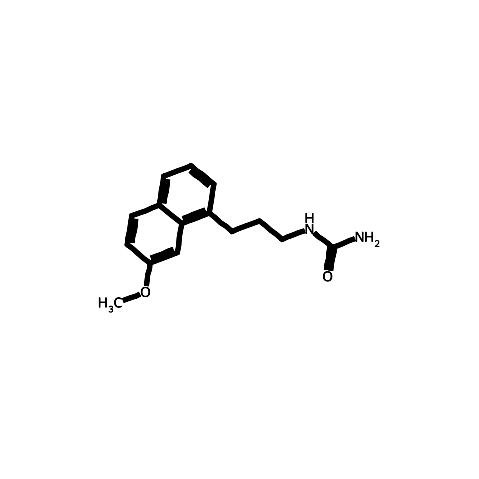 COc1ccc2cccc(CCCNC(N)=O)c2c1